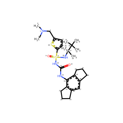 CN(C)Cc1ccc([SH](=O)(NC(=O)Nc2c3c(cc4c2CCC4)CCC3)N[Si](C)(C)C(C)(C)C)s1